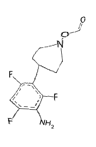 Nc1c(F)cc(F)c(C2CCN(OC=O)CC2)c1F